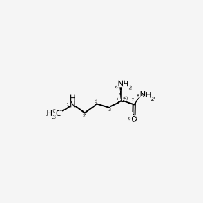 CNCCC[C@@H](N)C(N)=O